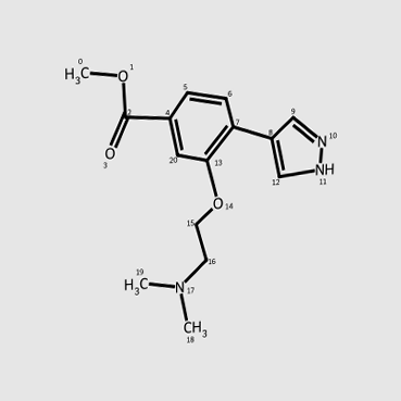 COC(=O)c1ccc(-c2cn[nH]c2)c(OCCN(C)C)c1